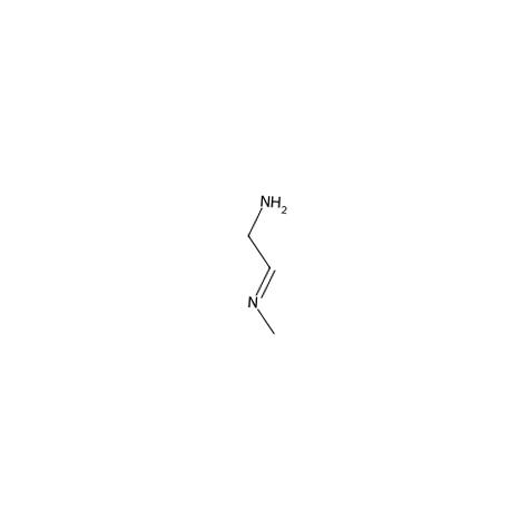 CN=CCN